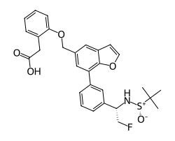 CC(C)(C)[S@+]([O-])N[C@H](CF)c1cccc(-c2cc(COc3ccccc3CC(=O)O)cc3ccoc23)c1